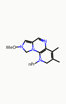 CCCN1CC(C)=C(C)C2=C1N1CN(OC)C=C1C=N2